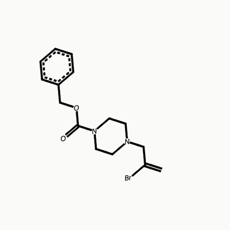 C=C(Br)CN1CCN(C(=O)OCc2ccccc2)CC1